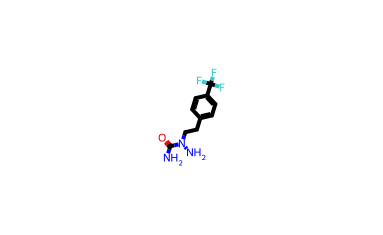 NC(=O)N(N)CCc1ccc(C(F)(F)F)cc1